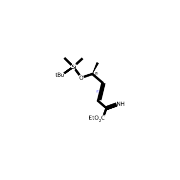 CCOC(=O)C(=N)/C=C/[C@H](C)O[Si](C)(C)C(C)(C)C